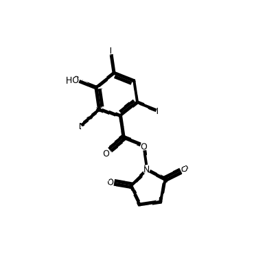 O=C(ON1C(=O)CCC1=O)c1c(I)cc(I)c(O)c1I